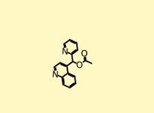 CC(=O)OC(c1ccccn1)c1ccnc2ccccc12